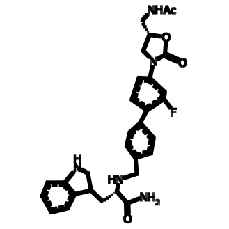 CC(=O)NC[C@H]1CN(c2ccc(-c3ccc(CN[C@@H](CC4CNc5ccccc54)C(N)=O)cc3)c(F)c2)C(=O)O1